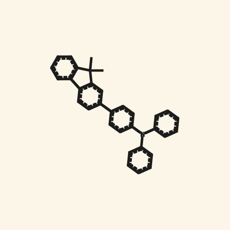 CC1(C)c2ccccc2-c2ccc(-c3ccc(N(c4ccccc4)c4ccccc4)cc3)cc21